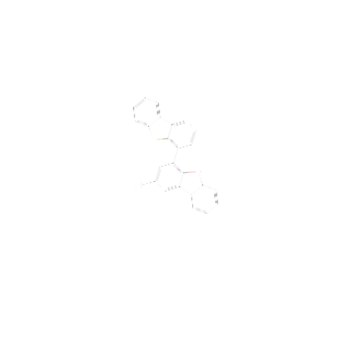 Clc1cc(-c2cccc3c2sc2ccccc23)c2c(c1)C1C=CC=CC1O2